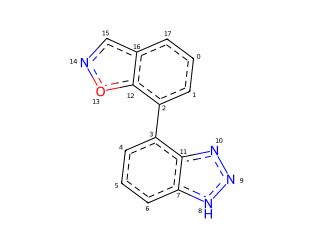 c1cc(-c2cccc3[nH]nnc23)c2oncc2c1